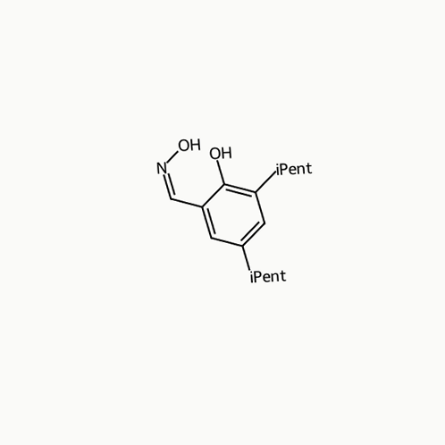 CCCC(C)c1cc(/C=N\O)c(O)c(C(C)CCC)c1